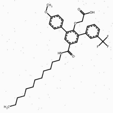 CCCCCCCCCCCCNC(=O)c1cc(-c2ccc(OC)cc2)c(OCC(=O)O)c(-c2cccc(C(F)(F)F)c2)c1